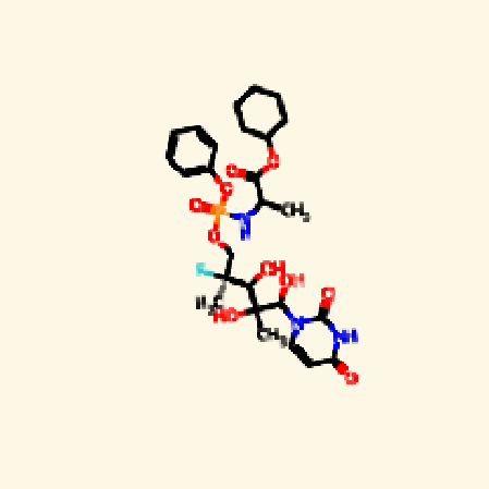 CC(N[P@](=O)(OC[C@](C)(F)[C@@H](O)[C@@](C)(O)[C@@H](O)n1ccc(=O)[nH]c1=O)Oc1ccccc1)C(=O)OC1CCCCC1